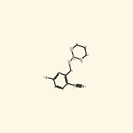 N#[N+]c1ccc(F)cc1COB1OCCCO1